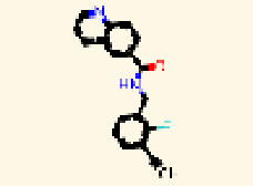 C#Cc1cccc(CNC(=O)c2ccc3ncccc3c2)c1F